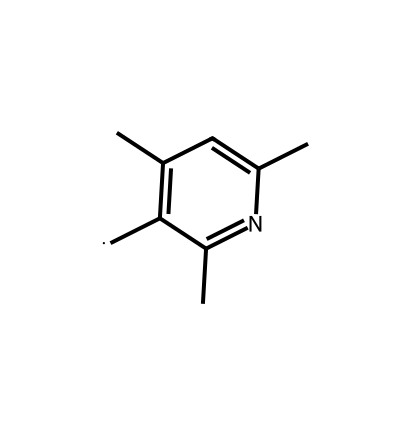 [CH2]c1c(C)cc(C)nc1C